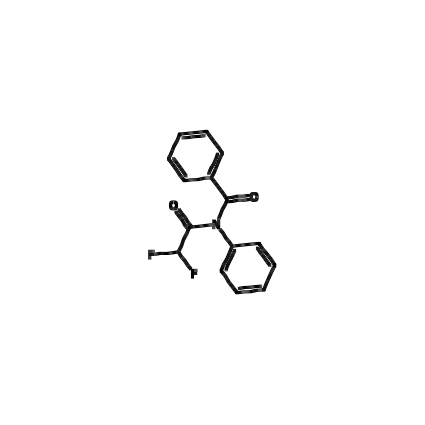 O=C(c1ccccc1)N(C(=O)C(F)F)c1ccccc1